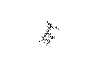 CN1C[C@H](F)C[C@H]1COc1nc(O)c2c3c(c(Br)cc2n1)CCCO3